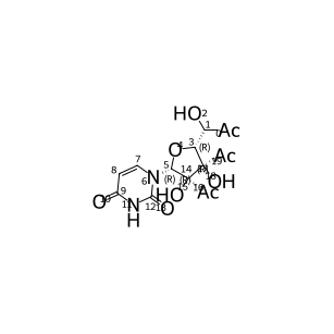 CC(=O)C(O)[C@H]1O[C@@H](n2ccc(=O)[nH]c2=O)[C@@](O)(C(C)=O)[C@@]1(O)C(C)=O